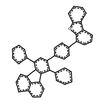 c1ccc(-c2cc(-c3ccc(-c4cccc5c4oc4ccccc45)cc3)c(-c3ccccc3)c3c2-c2cccc4cccc-3c24)cc1